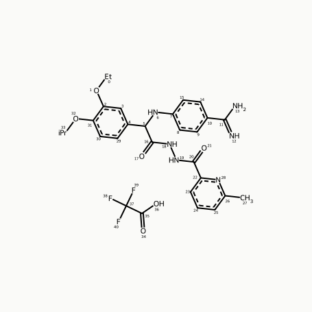 CCOc1cc(C(Nc2ccc(C(=N)N)cc2)C(=O)NNC(=O)c2cccc(C)n2)ccc1OC(C)C.O=C(O)C(F)(F)F